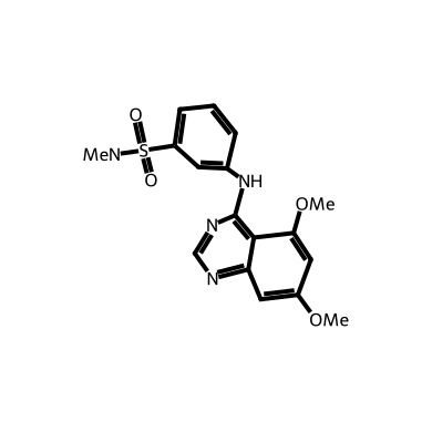 CNS(=O)(=O)c1cccc(Nc2ncnc3cc(OC)cc(OC)c23)c1